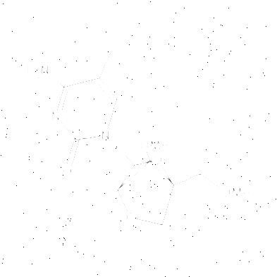 COCC12COC(C(n3cc(C)c(N)nc3=O)O1)C2OC